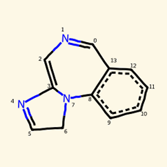 C1=NC=C2N=CCN2c2ccccc21